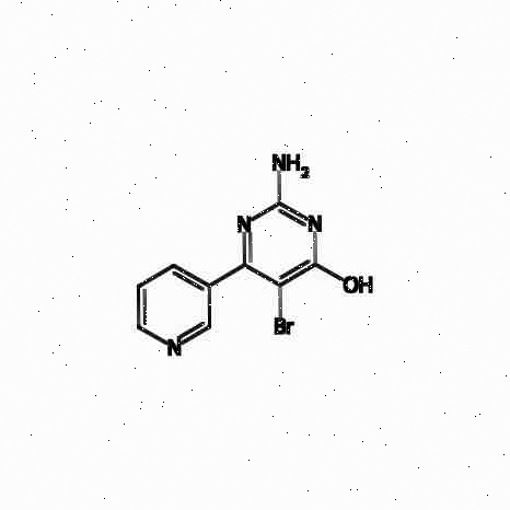 Nc1nc(O)c(Br)c(-c2cccnc2)n1